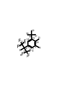 Cc1cc(C(C)(C(F)(F)F)C(F)(F)F)cc(C(C)(C)C)c1C